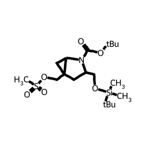 CC(C)(C)OC(=O)N1C(CO[Si](C)(C)C(C)(C)C)CC2(COS(C)(=O)=O)CC12